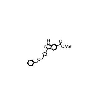 COC(=O)c1ccc2c(C3CC(COCc4ccccc4)C3)n[nH]c2c1